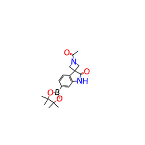 CC(=O)N1CC2(C1)C(=O)Nc1cc(B3OC(C)(C)C(C)(C)O3)ccc12